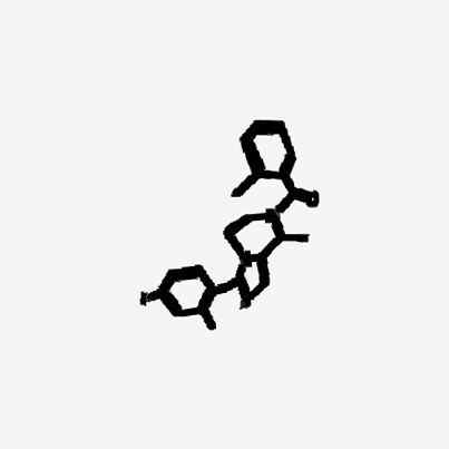 Cc1ccccc1C(=O)N1CCn2c(cnc2-c2ccc(F)cc2C)C1C